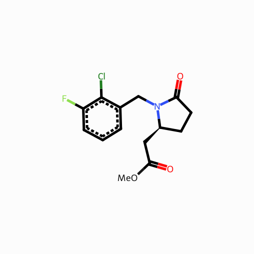 COC(=O)C[C@@H]1CCC(=O)N1Cc1cccc(F)c1Cl